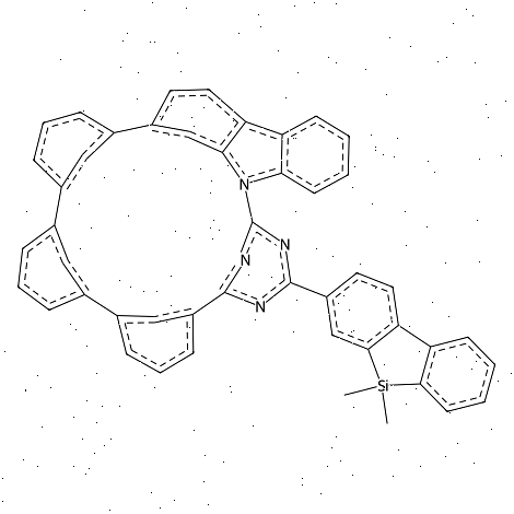 C[Si]1(C)c2ccccc2-c2ccc(-c3nc4nc(n3)-n3c5ccccc5c5ccc(cc53)-c3cccc(c3)-c3cccc(c3)-c3cccc-4c3)cc21